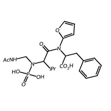 CC(=O)NCN(C(C(=O)N(c1ccco1)C(Cc1ccccc1)C(=O)O)C(C)C)P(=O)(O)O